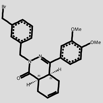 COc1ccc(C2=NN(Cc3cccc(CBr)c3)C(=O)[C@@H]3CC=CC[C@H]23)cc1OC